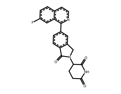 O=C1CCC(N2Cc3cc(-c4nccc5ccc(F)cc45)ccc3C2=O)C(=O)N1